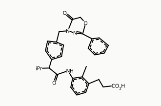 Cc1c(CCC(=O)O)cccc1NC(=O)C(c1ccc(CN2N=C(c3ccccc3)OCC2=O)cc1)C(C)C